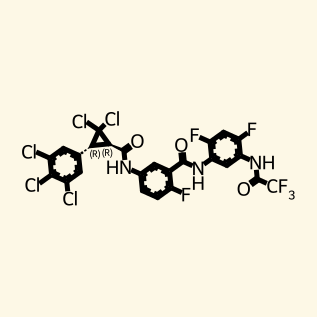 O=C(Nc1cc(NC(=O)C(F)(F)F)c(F)cc1F)c1cc(NC(=O)[C@H]2[C@H](c3cc(Cl)c(Cl)c(Cl)c3)C2(Cl)Cl)ccc1F